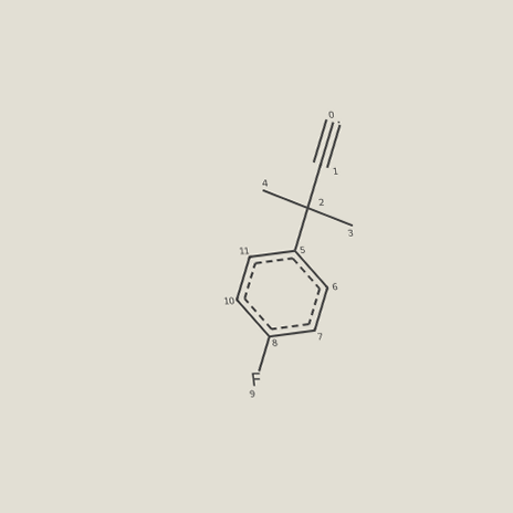 [C]#CC(C)(C)c1ccc(F)cc1